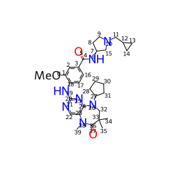 COc1cc(C(=O)N[C@H]2CCN(CC3CC3)C2)ccc1Nc1ncc2c(n1)N(C1CCCC1)CC(C)(C)C(=O)N2C